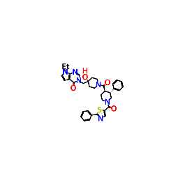 CCn1ccc2c(=O)n(CC3(O)CCN(C(=O)[C@@H]4CCN(C(=O)c5cnc(-c6ccccc6)s5)C[C@H]4c4ccccc4)CC3)cnc21